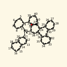 c1ccc(-c2ccccc2N(c2ccc3ccccc3c2)c2ccc3c4ccccc4c4ccccc4c3c2)cc1